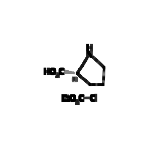 CCOC(=O)Cl.O=C(O)[C@H]1CCCN1